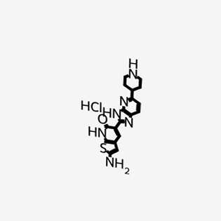 Cl.Nc1cc2cc(-c3nc4ccc(C5CCNCC5)nc4[nH]3)c(=O)[nH]c2s1